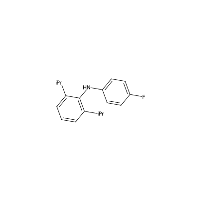 CC(C)c1cccc(C(C)C)c1Nc1ccc(F)cc1